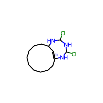 ClC1N/C2=C/C(CCCCCCCCC2)NC(Cl)N1